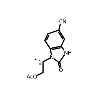 CC(=O)OC[C@H](C)n1c(=O)[nH]c2cc(C#N)ccc21